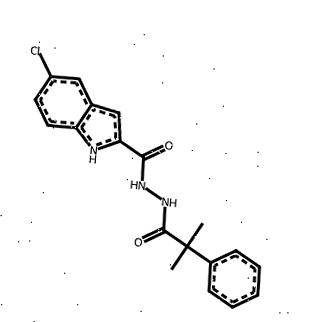 CC(C)(C(=O)NNC(=O)c1cc2cc(Cl)ccc2[nH]1)c1ccccc1